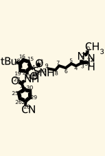 Cc1nc(CCCCCCNS(=O)(=O)c2ccc(C(C)(C)C)cc2NC(=O)c2ccc(C#N)cc2)c[nH]1